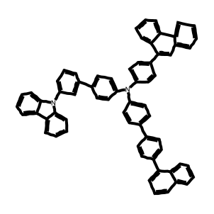 c1cc(-c2ccc(N(c3ccc(-c4ccc(-c5cccc6ccccc56)cc4)cc3)c3ccc(-c4cc5ccccc5c5ccccc45)cc3)cc2)cc(-n2c3ccccc3c3ccccc32)c1